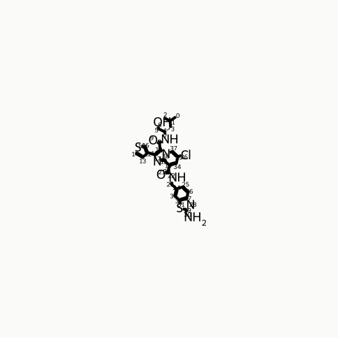 CC(C)C[C@@H](CO)NC(=O)c1c(-c2ccsc2)nc2c(C(=O)NCc3ccc4nc(N)sc4c3)cc(Cl)cn12